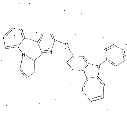 c1ccc(-n2c3ccccc3c3ccc(Oc4ccc5c6ncccc6n6cccc6c5n4)cc32)nc1